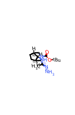 C/C(=N\N)N[C@@H]1[C@@H]2CC[C@H]1CN(C(=O)OC(C)(C)C)C2